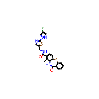 Cc1c(C(=O)NCc2cnc(-n3cc(F)cn3)s2)ccc2c1NC(=O)c1ccccc1S2